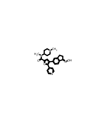 CN1CCC(N(C)C(=O)c2cc(-c3ccc4c(c3)CCC4=NO)c(-c3ccncc3)o2)CC1